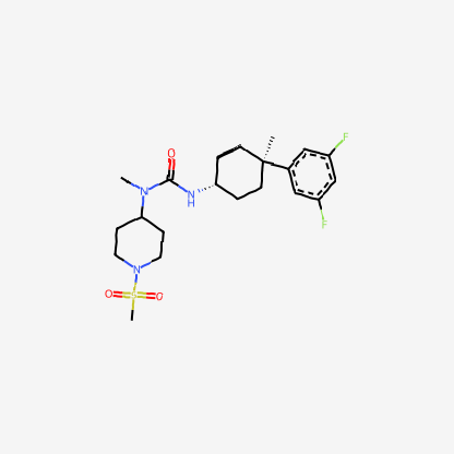 CN(C(=O)N[C@H]1CC[C@](C)(c2cc(F)cc(F)c2)CC1)C1CCN(S(C)(=O)=O)CC1